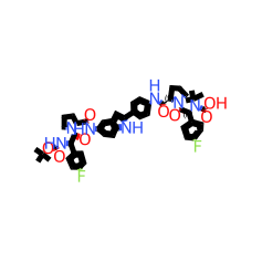 CC(C)(C)OC(=O)NC(C(=O)N1CCCC1C(=O)Nc1ccc2[nH]c(-c3ccc(NC(=O)[C@@H]4CCCN4C(=O)[C@@H](c4ccc(F)cc4)N(C(=O)O)C(C)(C)C)cc3)cc2c1)c1ccc(F)cc1